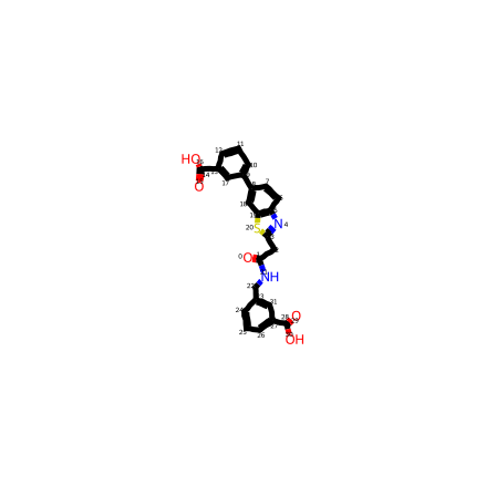 O=C(Cc1nc2ccc(-c3cccc(C(=O)O)c3)cc2s1)NCc1cccc(C(=O)O)c1